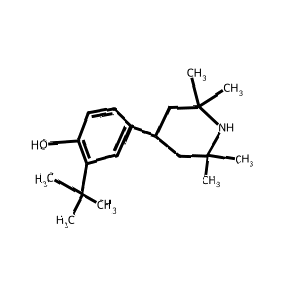 CC1(C)CC(c2ccc(O)c(C(C)(C)C)c2)CC(C)(C)N1